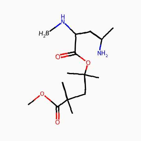 BNC(CC(C)N)C(=O)OC(C)(C)CC(C)(C)C(=O)OC